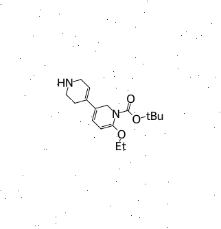 CCOC1=CC=C(C2=CCNCC2)CN1C(=O)OC(C)(C)C